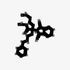 CC(C)(C)OC(=O)C(CCCC=O)(CCOCc1ccccc1)N1C(=O)c2ccccc2C1=O